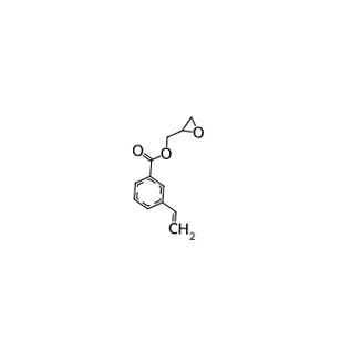 C=Cc1cccc(C(=O)OCC2CO2)c1